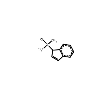 CS(C)(Cl)C1C=Cc2ccccc21